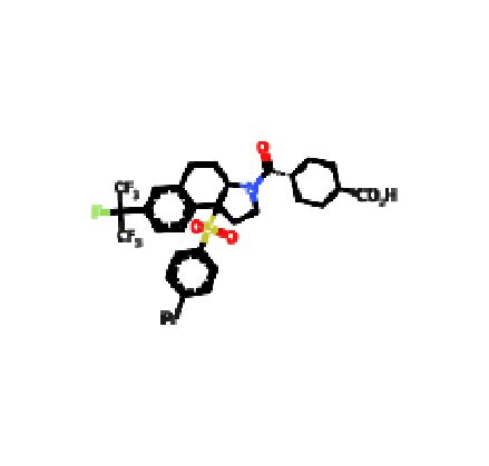 CC(C)c1ccc(S(=O)(=O)C23CCN(C(=O)[C@H]4CC[C@H](C(=O)O)CC4)C2CCc2cc(C(F)(C(F)(F)F)C(F)(F)F)ccc23)cc1